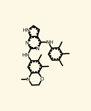 Cc1ccc(Nc2nc(Nc3cc4c(c(C)c3C)OCCN4C)nc3[nH]ccc23)c(C)c1C